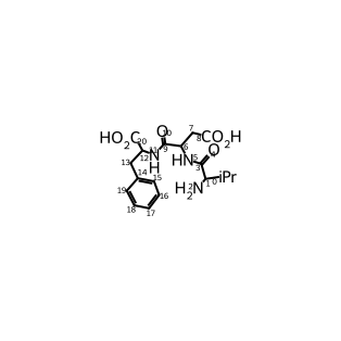 CC(C)C(N)C(=O)NC(CC(=O)O)C(=O)NC(Cc1ccccc1)C(=O)O